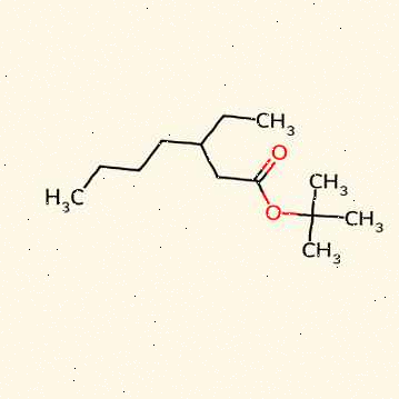 CCCCC(CC)CC(=O)OC(C)(C)C